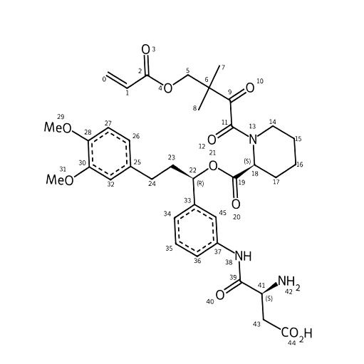 C=CC(=O)OCC(C)(C)C(=O)C(=O)N1CCCC[C@H]1C(=O)O[C@H](CCc1ccc(OC)c(OC)c1)c1cccc(NC(=O)[C@@H](N)CC(=O)O)c1